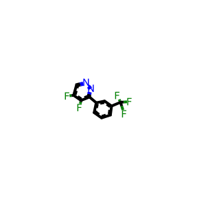 Fc1cnnc(-c2cccc(C(F)(F)F)c2)c1F